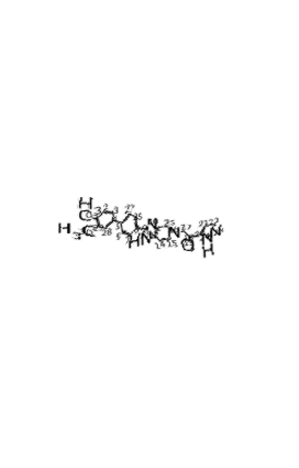 Cc1ccc(-c2ccc(-c3nc4c([nH]3)C=CN(CC(=O)c3ccn[nH]3)C4)cc2)cc1C